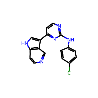 Clc1ccc(Nc2nccc(-c3c[nH]c4ccncc34)n2)cc1